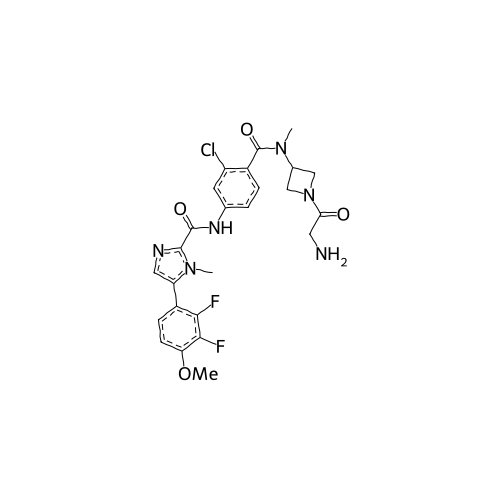 COc1ccc(-c2cnc(C(=O)Nc3ccc(C(=O)N(C)C4CN(C(=O)CN)C4)c(Cl)c3)n2C)c(F)c1F